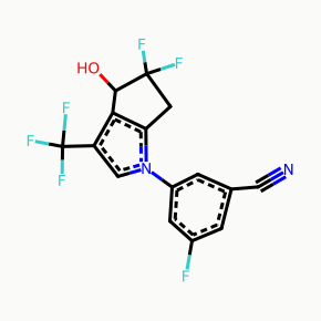 N#Cc1cc(F)cc(-n2cc(C(F)(F)F)c3c2CC(F)(F)C3O)c1